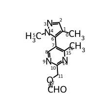 Cc1cnn(C)c1-c1cnc(COC=O)nc1C